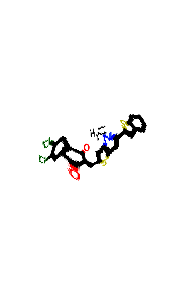 Cn1c(-c2cc3ccccc3s2)cc2sc(C=C3C(=O)c4cc(Cl)c(Cl)cc4C3=O)cc21